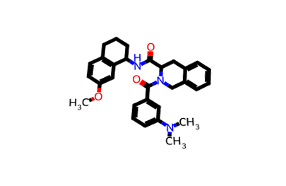 COc1ccc2c(c1)C(NC(=O)C1Cc3ccccc3CN1C(=O)c1cccc(N(C)C)c1)CCC2